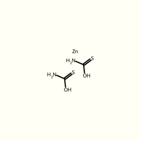 NC(O)=S.NC(O)=S.[Zn]